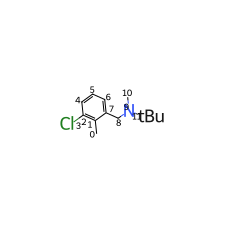 Cc1c(Cl)cccc1CN(C)C(C)(C)C